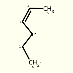 [CH2]C[CH]/C=C\C